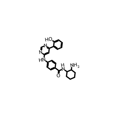 NC1CCCCC1NC(=O)c1ccc(Nc2cc(-c3ccccc3O)ncn2)cc1